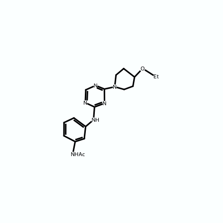 CCOC1CCN(c2ncnc(Nc3cccc(NC(C)=O)c3)n2)CC1